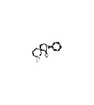 O=C1N(c2ccccc2)CCC12CCCNC2